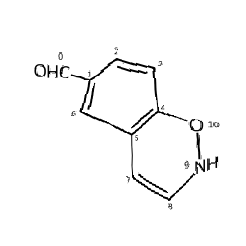 O=Cc1ccc2c(c1)C=CNO2